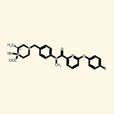 C[C@H]1CN(Cc2ccc(N(C)C(=O)c3cccc(Oc4ccc(F)cc4)n3)cc2)CC[N+]1(C(=O)[O-])C(C)(C)C